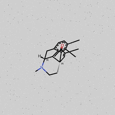 CC1=C[C@]23CCN(C)[C@H](Cc4ccc(C)c(C)c42)C3=CC1=O